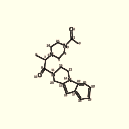 CC(=O)N1CCN(C(C)C(=O)N2CCn3c(cc4ccccc43)C2)CC1